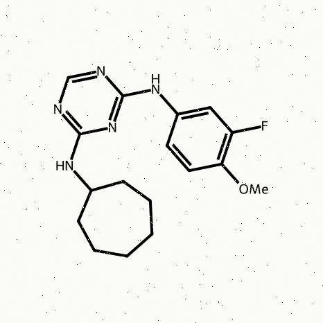 COc1ccc(Nc2ncnc(NC3CCCCCC3)n2)cc1F